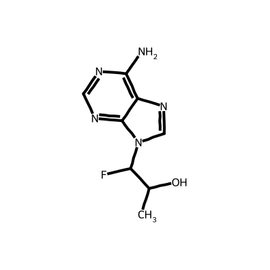 CC(O)C(F)n1cnc2c(N)ncnc21